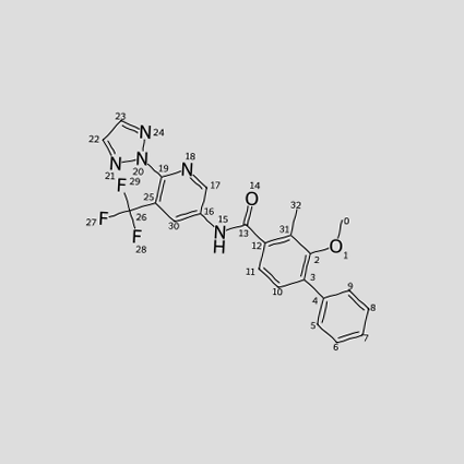 COc1c(-c2ccccc2)ccc(C(=O)Nc2cnc(-n3nccn3)c(C(F)(F)F)c2)c1C